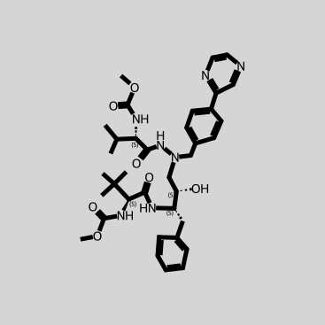 COC(=O)N[C@H](C(=O)NN(Cc1ccc(-c2cnccn2)cc1)C[C@H](O)[C@H](Cc1ccccc1)NC(=O)[C@@H](NC(=O)OC)C(C)(C)C)C(C)C